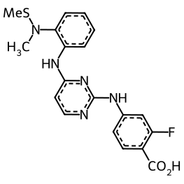 CSN(C)c1ccccc1Nc1ccnc(Nc2ccc(C(=O)O)c(F)c2)n1